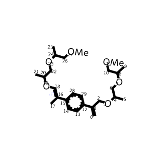 C=C(COC(C)COC(C)COC)c1ccc(/C(C)=C/OC(C)COC(C)COC)cc1